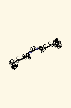 COc1cc(/C=C/C(=O)CC(=O)/C=C/c2ccc(OC(=O)CCCC(=O)OC[C@H]3O[C@@H]4OC(C)(C)O[C@@H]4[C@H]4OC(C)(C)O[C@H]43)c(OC)c2)ccc1OC(=O)CCCC(=O)OC[C@H]1O[C@@H]2OC(C)(C)O[C@@H]2[C@H]2OC(C)(C)O[C@H]21